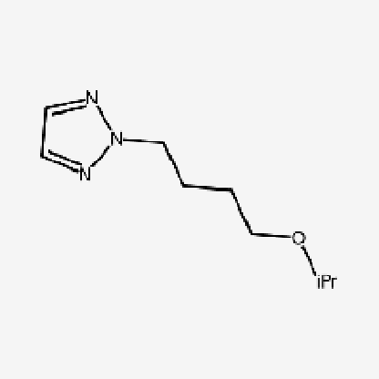 CC(C)OCCCCn1nccn1